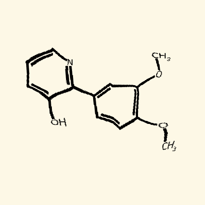 COc1ccc(-c2ncccc2O)cc1OC